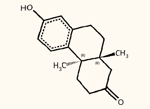 C[C@]12CCc3cc(O)ccc3[C@]1(C)CCC(=O)C2